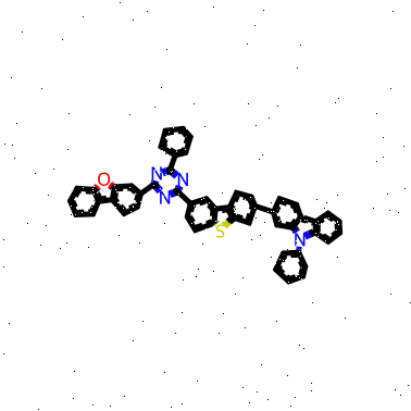 c1ccc(-c2nc(-c3ccc4c(c3)oc3ccccc34)nc(-c3ccc4sc5cc(-c6ccc7c8ccccc8n(-c8ccccc8)c7c6)ccc5c4c3)n2)cc1